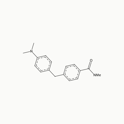 CNC(=O)c1ccc(Cc2ccc(N(C)C)cc2)cc1